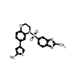 Cc1nc2ccc(S(=O)(=O)N3CCOc4ccc(-c5csc(C#N)c5)cc43)cc2s1